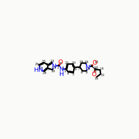 O=C(Nc1ccc(C2CCN(C(=O)[C@H]3CCCO3)CC2)cc1)N1C=C2C=CNC=C2C1